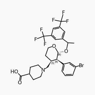 CC(O[C@H]1OCC[C@H](CN2CCC(C(=O)O)CC2)[C@@H]1c1cccc(Br)c1)c1cc(C(F)(F)F)cc(C(F)(F)F)c1